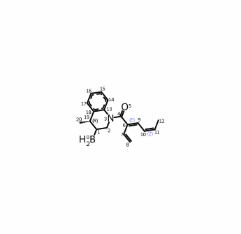 BC1CN(C(=O)/C(C=C)=C/C=C\C)c2ccccc2[C@@H]1C